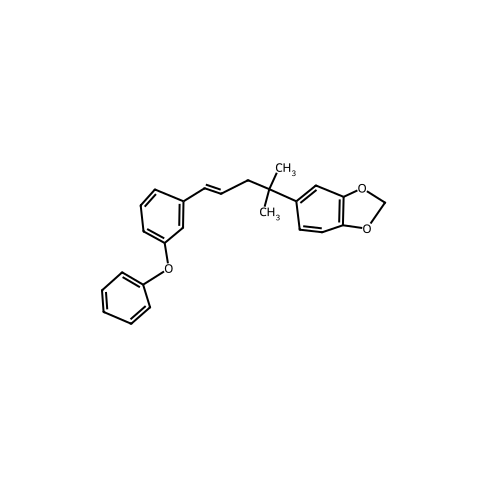 CC(C)(CC=Cc1cccc(Oc2ccccc2)c1)c1ccc2c(c1)OCO2